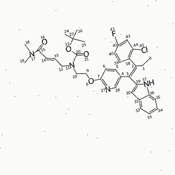 CC/C(=C(/c1ccc(OCCN(C/C=C/C(=O)N(C)C)C(=O)OC(C)(C)C)nc1)c1cc2ccccc2[nH]1)c1ccc(F)cc1Cl